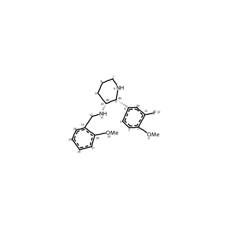 COc1ccc([C@H]2NCCC[C@H]2NCc2ccccc2OC)cc1F